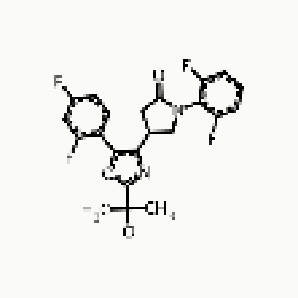 CC(C)(O)c1nc(C2CC(=O)N(c3c(F)cccc3F)C2)c(-c2ccc(F)cc2F)o1